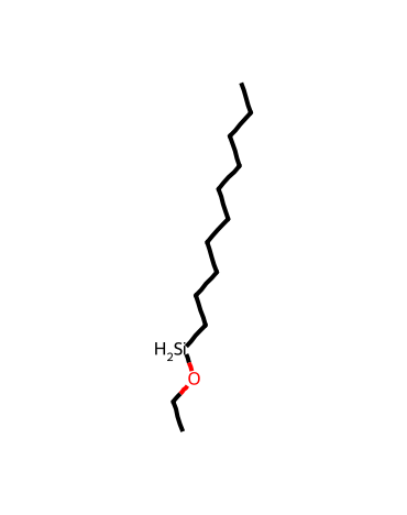 CCCCCCCCCC[SiH2]OCC